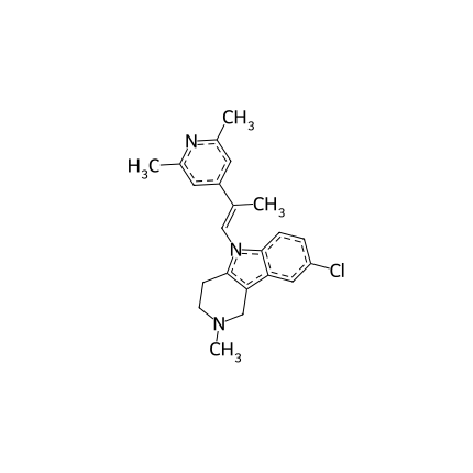 C/C(=C\n1c2c(c3cc(Cl)ccc31)CN(C)CC2)c1cc(C)nc(C)c1